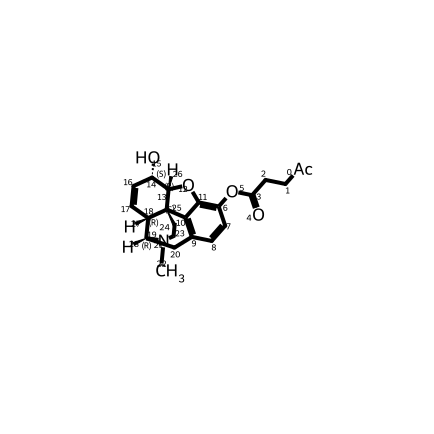 CC(=O)CCC(=O)Oc1ccc2c3c1O[C@H]1[C@@H](O)C=C[C@H]4[C@@H](C2)N(C)CC[C@@]341